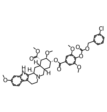 COC(=O)[C@H]1[C@H]2C[C@@H]3c4[nH]c5cc(OC)ccc5c4CCN3C[C@H]2C[C@@H](OC(=O)c2cc(OC)c(OC(=O)OCc3cccc(Cl)c3)c(OC)c2)[C@@H]1OC